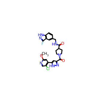 COc1cc(-c2cc(C(=O)N3CCC(C(=O)NCc4ccc5[nH]nc(F)c5c4)CC3)n[nH]2)c(Cl)cn1